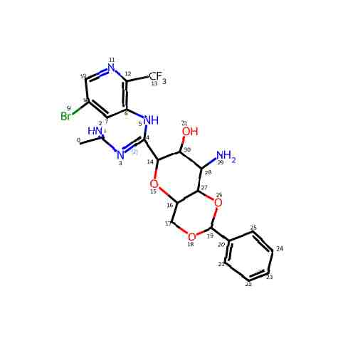 CC(=N)/N=C(\Nc1cc(Br)cnc1C(F)(F)F)C1OC2COC(c3ccccc3)OC2C(N)C1O